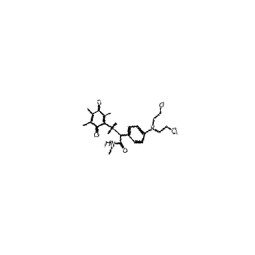 CNC(=O)C(c1ccc(N(CCCl)CCCl)cc1)C(C)(C)C1=C(C)C(=O)C(C)=C(C)C1=O